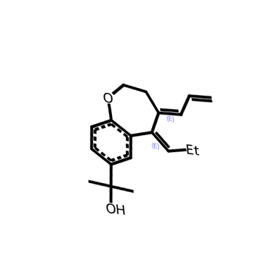 C=C/C=C1\CCOc2ccc(C(C)(C)O)cc2\C1=C\CC